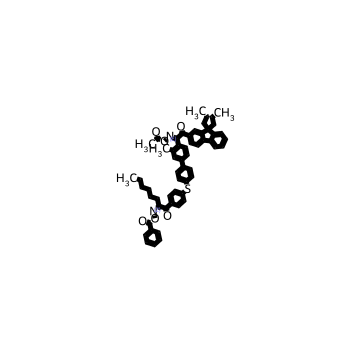 CCCCCC/C(=N/OC(=O)c1ccccc1)C(=O)c1ccc(Sc2ccc(-c3ccc(/C(=N\OC(C)=O)C(=O)c4ccc5c(c4)C(CCC)(CCC)c4ccccc4-5)c(C)c3)cc2)cc1